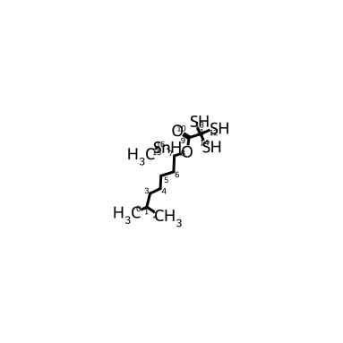 CC(C)CCCCCOC(=O)C(S)(S)S.[CH3][SnH]